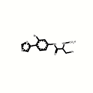 CC(C)CC(NC(=O)O)C(=O)Nc1ccc(-c2cnco2)c(Br)c1